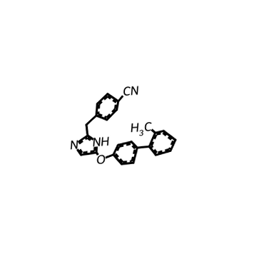 Cc1ccccc1-c1ccc(Oc2cnc(Cc3ccc(C#N)cc3)[nH]2)cc1